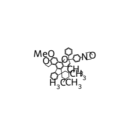 COc1cc2c3c(c4c(c2c2c1OCC2)-c1ccccc1C41CC(C)(C)CC(C)(C)C1)C=CC(c1ccccc1)(c1ccc(N2CCOCC2)cc1)O3